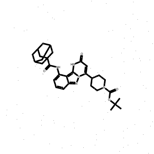 CC(C)(C)OC(=O)N1CCC(c2cc(=O)[nH]c3c4c(NC(=O)C56CC7CC(CC(C7)C5)C6)cccc4nn23)CC1